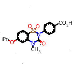 CC(C)Oc1ccc2c(c1)N(C)C(=O)N(c1ccc(C(=O)O)cc1)S2(=O)=O